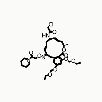 CCOCOc1cc2c(c(OCOCC)c1)C(=O)O[C@H](C)C/C=C/[C@@H](NC(=O)CCl)C/C=C/C(=NOCC(=O)N1CCCCC1)C2